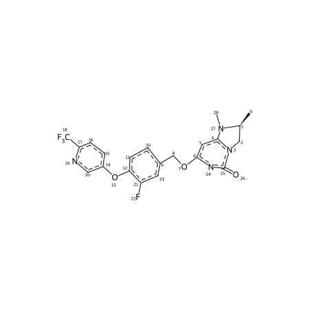 C[C@H]1Cn2c(cc(OCc3ccc(Oc4ccc(C(F)(F)F)nc4)c(F)c3)nc2=O)N1C